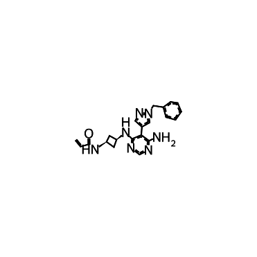 C=CC(=O)N[C@H]1C[C@@H](Nc2ncnc(N)c2-c2cnn(Cc3ccccc3)c2)C1